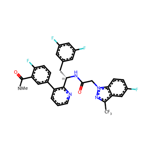 CNC(=O)c1cc(-c2cccnc2[C@H](Cc2cc(F)cc(F)c2)NC(=O)Cn2nc(C(F)(F)F)c3cc(F)ccc32)ccc1F